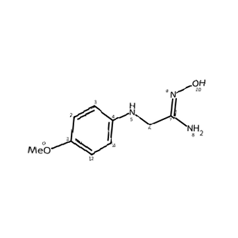 COc1ccc(NCC(N)=NO)cc1